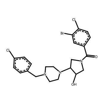 O=C(c1ccc(Cl)c(Br)c1)N1CC(O)C(N2CCN(Cc3ccc(Cl)cc3)CC2)C1